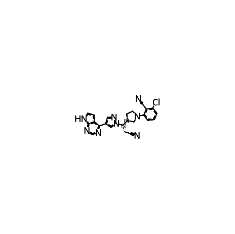 N#CC[C@@H]([C@H]1CCN(c2cccc(Cl)c2C#N)C1)n1cc(-c2ncnc3[nH]ccc23)cn1